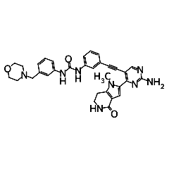 Cn1c(-c2nc(N)ncc2C#Cc2cccc(NC(=O)Nc3cccc(CN4CCOCC4)c3)c2)cc2c1CCNC2=O